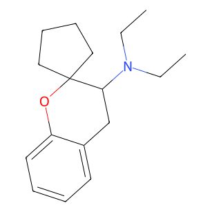 CCN(CC)C1Cc2ccccc2OC12CCCC2